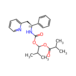 CC(C)C(=O)OC(OC(=O)N[C@@H](Cc1ccccn1)c1ccccc1)C(C)C